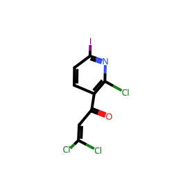 O=C(C=C(Cl)Cl)c1ccc(I)nc1Cl